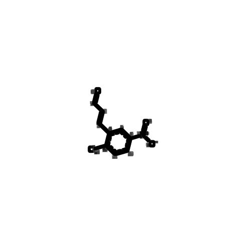 O=CC=Cc1cc([N+](=O)[O-])ccc1Cl